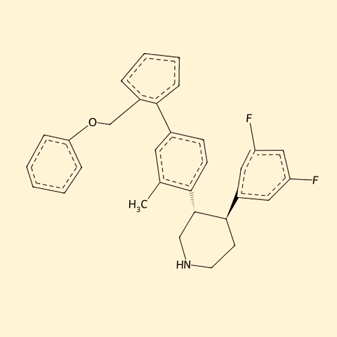 Cc1cc(-c2ccccc2COc2ccccc2)ccc1[C@H]1CNCC[C@@H]1c1cc(F)cc(F)c1